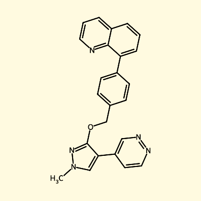 Cn1cc(-c2ccnnc2)c(OCc2ccc(-c3cccc4cccnc34)cc2)n1